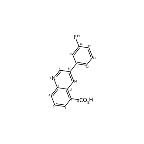 O=C(O)c1cccc2ncc(-c3cccc(F)c3)cc12